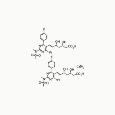 CC(C)c1nc(N(C)S(C)(=O)=O)nc(-c2ccc(F)cc2)c1C=C[C@@H](O)C[C@@H](O)CC(=O)O.CC(C)c1nc(N(C)S(C)(=O)=O)nc(-c2ccc(F)cc2)c1C=C[C@@H](O)C[C@@H](O)CC(=O)O.[CaH2].[Zn]